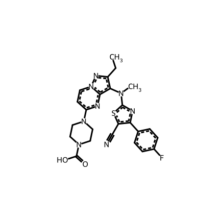 CCc1nn2ccc(N3CCN(C(=O)O)CC3)nc2c1N(C)c1nc(-c2ccc(F)cc2)c(C#N)s1